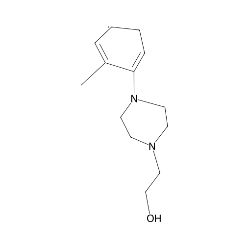 CC1=C[CH]CC=C1N1CCN(CCO)CC1